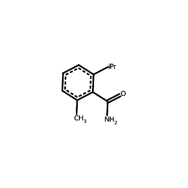 Cc1cccc(C(C)C)c1C(N)=O